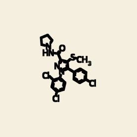 CSc1c(C(=O)NN2CCCC2)nn(-c2ccc(Cl)cc2Cl)c1-c1ccc(Cl)cc1